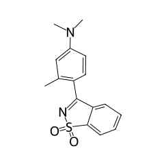 Cc1cc(N(C)C)ccc1C1=NS(=O)(=O)c2ccccc21